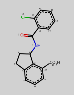 O=C(NC1CCc2cccc(C(=O)O)c21)c1ccccc1Cl